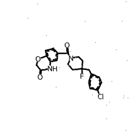 O=C1COc2ccc(C(=O)N3CCC(F)(Cc4ccc(Cl)cc4)CC3)cc2N1